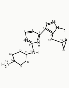 Cn1ncc(-c2ccnc(NC3CCC(N)CC3)n2)c1CC1CC1